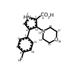 O=C(O)c1[nH]cc(-c2ccc(F)cc2)c1N1CCOCC1